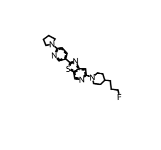 FCCCC1CCN(c2cc3nc(-c4ccc(N5CCCC5)nc4)sc3cn2)CC1